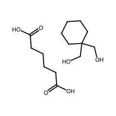 O=C(O)CCCCC(=O)O.OCC1(CO)CCCCC1